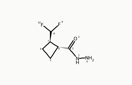 NNC(=O)[C@@H]1CC[C@H]1C(F)F